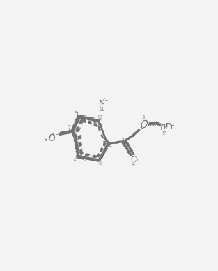 CCCOC(=O)c1ccc([O-])cc1.[K+]